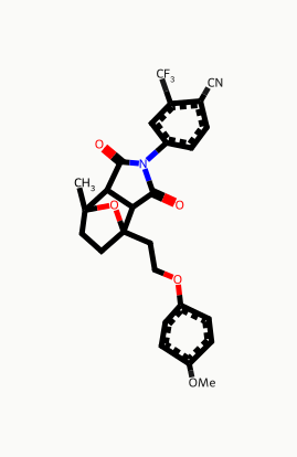 COc1ccc(OCCC23CCC(C)(O2)C2C(=O)N(c4ccc(C#N)c(C(F)(F)F)c4)C(=O)C23)cc1